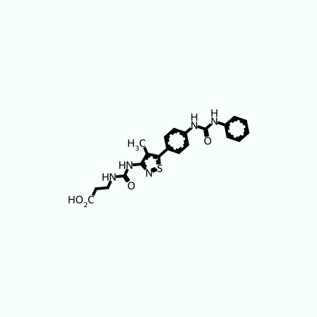 Cc1c(NC(=O)NCCC(=O)O)nsc1-c1ccc(NC(=O)Nc2ccccc2)cc1